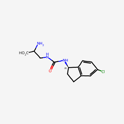 NC(CNC(=O)N[C@@H]1CCc2cc(Cl)ccc21)C(=O)O